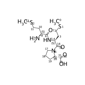 CSCC[C@H](NC(=O)[C@@H](N)CCSC)C(=O)N1CCC[C@H]1C(=O)O